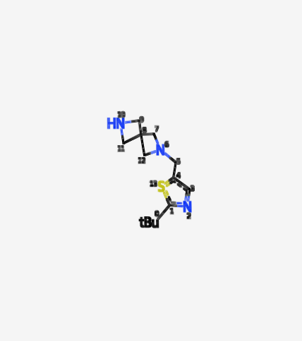 CC(C)(C)c1ncc(CN2CC3(CNC3)C2)s1